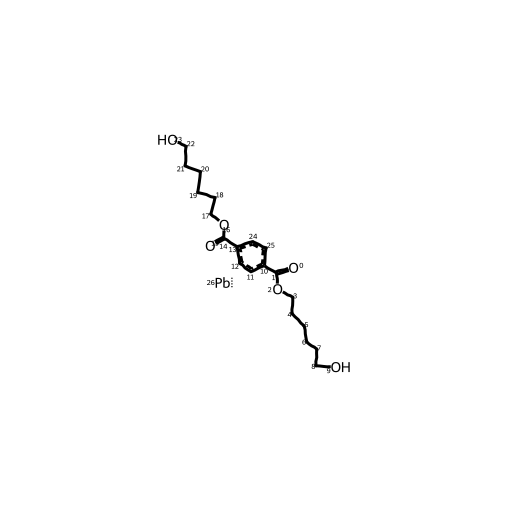 O=C(OCCCCCCO)c1ccc(C(=O)OCCCCCCO)cc1.[Pb]